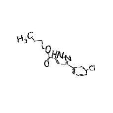 CCCCOC(=O)c1cc(-c2cccc(Cl)c2)n[nH]1